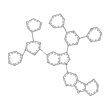 c1ccc(-c2cc(-c3ccccc3)cc(-c3ccc4c(c3)c(-c3cc(-c5ccccc5)cc(-c5ccccc5)c3)cn4-c3ccc4oc5ccccc5c4c3)c2)cc1